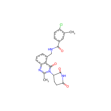 Cc1cc(C(=O)NCc2cccc3nc(C)n(C4CCC(=O)NC4=O)c(=O)c23)ccc1Cl